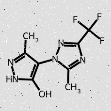 Cc1n[nH]c(O)c1-n1nc(C(F)(F)F)nc1C